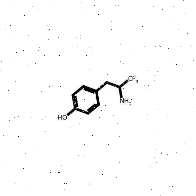 NC(Cc1ccc(O)cc1)C(F)(F)F